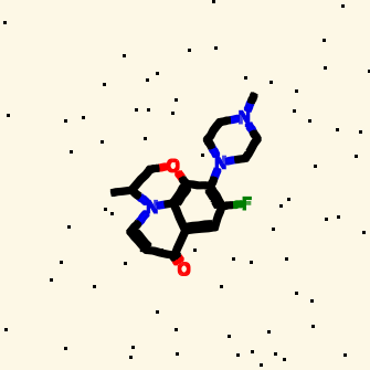 CC1COc2c(N3CCN(C)CC3)c(F)cc3c(=O)[c]cn1c23